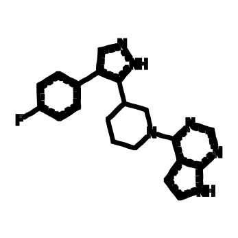 Fc1ccc(-c2cn[nH]c2C2CCCN(c3ncnc4[nH]ccc34)C2)cc1